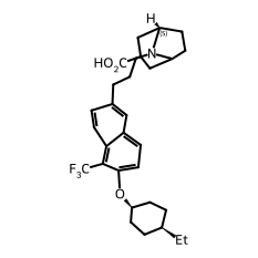 CC[C@H]1CC[C@@H](Oc2ccc3cc(CCCN4C5CC[C@H]4CC(C(=O)O)C5)ccc3c2C(F)(F)F)CC1